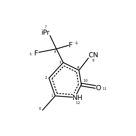 Cc1cc(C(F)(F)C(C)C)c(C#N)c(=O)[nH]1